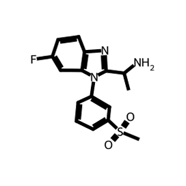 CC(N)c1nc2ccc(F)cc2n1-c1cccc(S(C)(=O)=O)c1